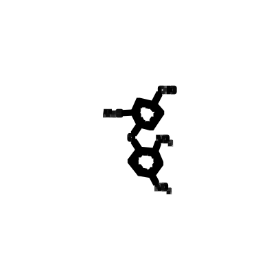 COc1cc(C=O)ccc1Oc1ccc([N+](=O)[O-])cc1[N+](=O)[O-]